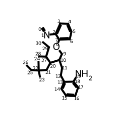 C=Nc1ccccc1OCC(CCc1ccccc1N)C(CC(C)(C)CC)C(C)CC